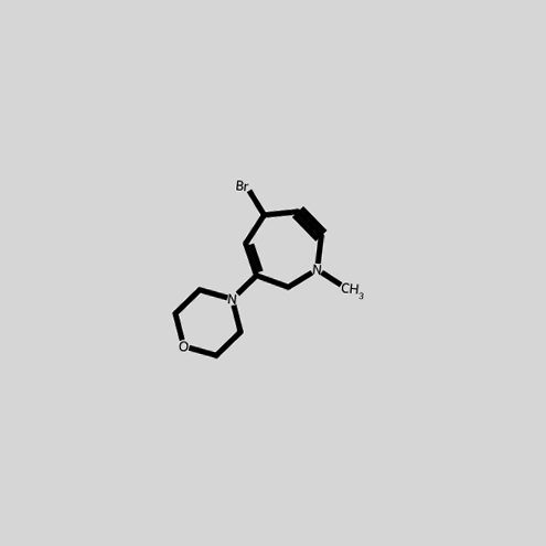 CN1C#CC(Br)C=C(N2CCOCC2)C1